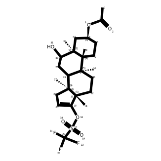 CC(=O)O[C@H]1CC[C@]2(C)[C@@]3(C)CC[C@]4(C)C(OS(=O)(=O)C(F)(F)F)=CC[C@@]4(C)C3CC(O)[C@@]2(C)C1